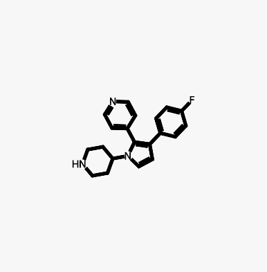 Fc1ccc(-c2ccn(C3CCNCC3)c2-c2ccncc2)cc1